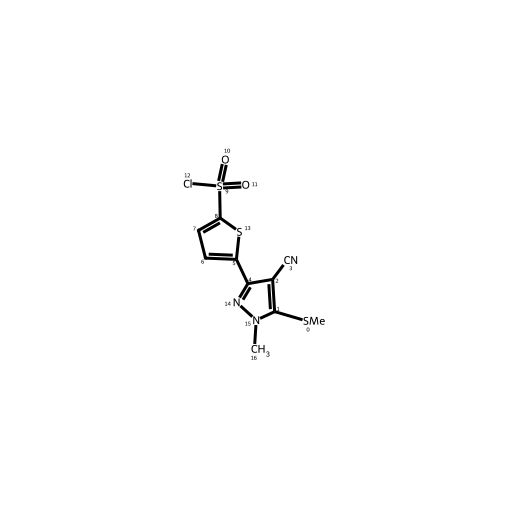 CSc1c(C#N)c(-c2ccc(S(=O)(=O)Cl)s2)nn1C